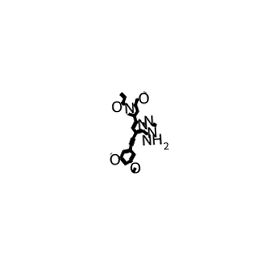 C=CC(=O)N1CC(c2cc(C#Cc3cc(OC)cc(OC)c3)c3c(N)ncnn23)CC1COC